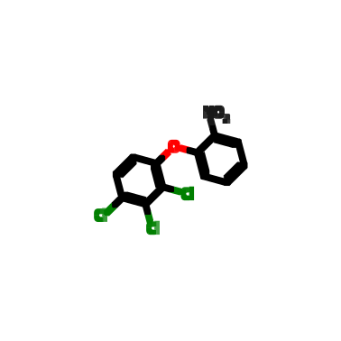 O=[N+]([O-])c1ccccc1Oc1ccc(Cl)c(Cl)c1Cl